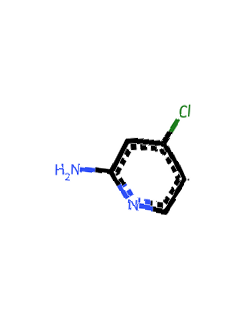 Nc1cc(Cl)[c]cn1